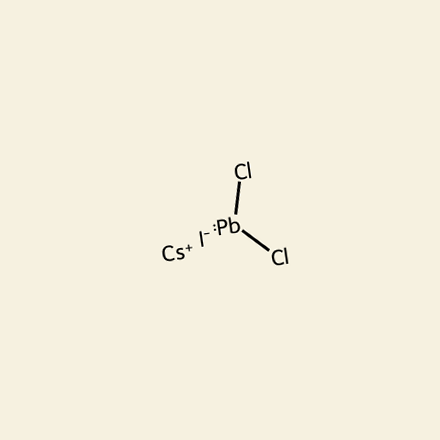 [Cl][Pb][Cl].[Cs+].[I-]